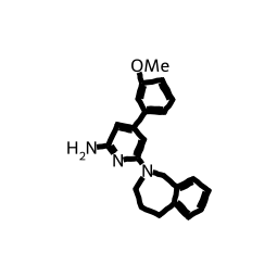 COc1cccc(-c2cc(N)nc(N3CCCc4ccccc4C3)c2)c1